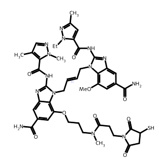 CCn1nc(C)cc1C(=O)Nc1nc2cc(C(N)=O)cc(OC)c2n1C/C=C/Cn1c(NC(=O)c2c(C)cnn2C)nc2cc(C(N)=O)cc(OCCCN(C)C(=O)CCN3C(=O)CC(S)C3=O)c21